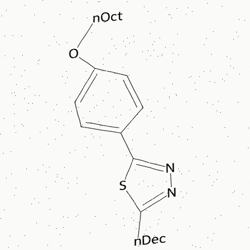 CCCCCCCCCCc1nnc(-c2ccc(OCCCCCCCC)cc2)s1